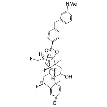 CNc1cccc(Cc2ccc([C@@H]3O[C@@H]4C[C@H]5C6C[C@H](F)C7=CC(=O)C=CC7(C)[C@@]6(F)C(O)CC5(C)C4(C(=O)SCF)O3)cc2)c1